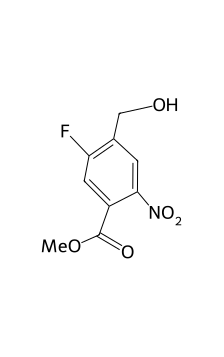 COC(=O)c1cc(F)c(CO)cc1[N+](=O)[O-]